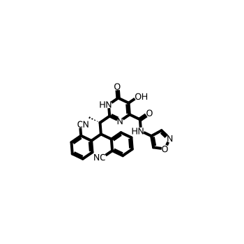 C[C@H](c1nc(C(=O)Nc2cnoc2)c(O)c(=O)[nH]1)C(c1ccccc1C#N)c1ccccc1C#N